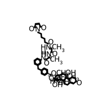 C[C@H](NC(=O)CCCCCN1C(=O)C=CC1=O)C(=O)N[C@@H](C)C(=O)Nc1cccc(Cc2ccc([C@@H]3O[C@@H]4C[C@H]5[C@@H]6CCC7=CC(=O)C=C[C@]7(C)[C@@]6(F)[C@@H](O)C[C@]5(C)[C@]4(C(=O)CO)O3)cc2)c1